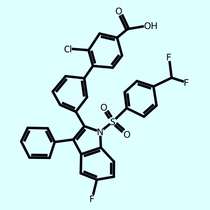 O=C(O)c1ccc(-c2cccc(-c3c(-c4ccccc4)c4cc(F)ccc4n3S(=O)(=O)c3ccc(C(F)F)cc3)c2)c(Cl)c1